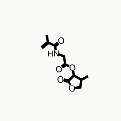 C=C(C)C(=O)NCC(=O)OC1C(=O)OCC1C